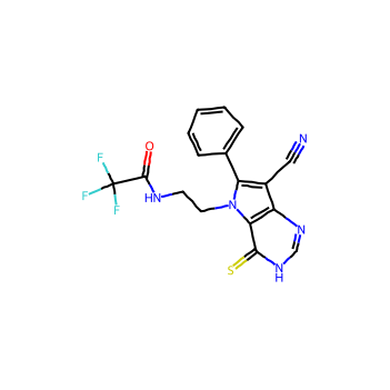 N#Cc1c(-c2ccccc2)n(CCNC(=O)C(F)(F)F)c2c(=S)[nH]cnc12